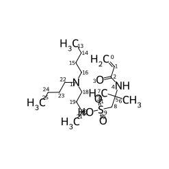 C=CC(=O)NC(C)(C)CS(=O)(=O)O.CCCCN(CCCC)CCCC